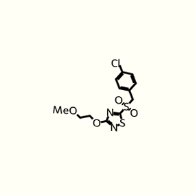 COCCOc1nsc(S(=O)(=O)Cc2ccc(Cl)cc2)n1